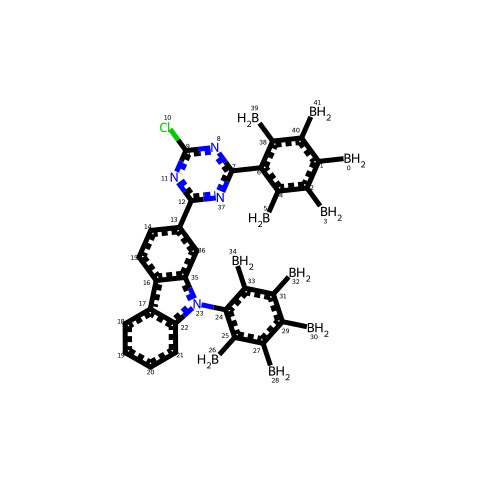 Bc1c(B)c(B)c(-c2nc(Cl)nc(-c3ccc4c5ccccc5n(-c5c(B)c(B)c(B)c(B)c5B)c4c3)n2)c(B)c1B